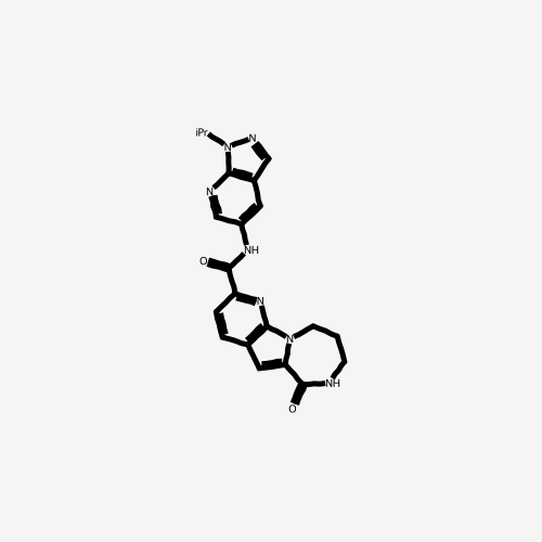 CC(C)n1ncc2cc(NC(=O)c3ccc4cc5n(c4n3)CCCNC5=O)cnc21